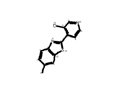 Cc1ccc2nc(-c3ccncc3Cl)sc2c1